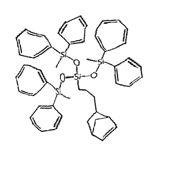 C[Si](O[Si](CCC1CC2C=CC1C2)(O[Si](C)(c1ccccc1)c1ccccc1)O[Si](C)(c1ccccc1)c1ccccc1)(c1ccccc1)c1ccccc1